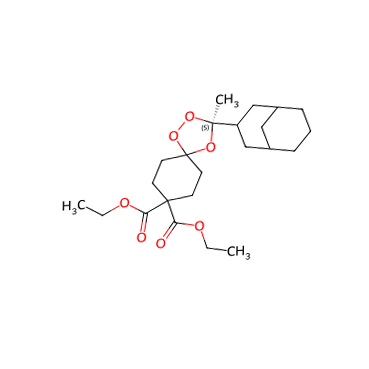 CCOC(=O)C1(C(=O)OCC)CCC2(CC1)OO[C@@](C)(C1CC3CCCC(C3)C1)O2